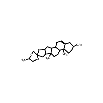 CC(=O)OC1CCC2(C)C(=CCC3C2CCC2(C)C4CC5(CCC(C)CO5)OC4CC32)C1